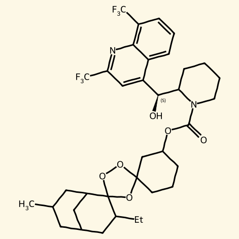 CCC1CC2CC(C)CC(C2)C12OOC1(CCCC(OC(=O)N3CCCCC3[C@@H](O)c3cc(C(F)(F)F)nc4c(C(F)(F)F)cccc34)C1)O2